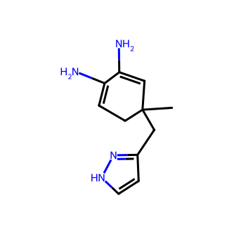 CC1(Cc2cc[nH]n2)C=C(N)C(N)=CC1